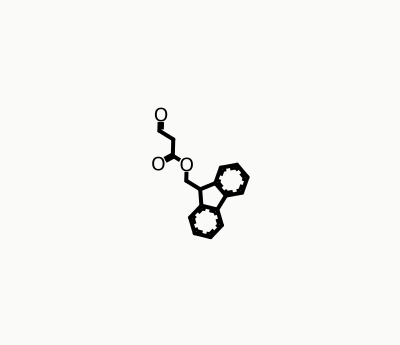 O=CCC(=O)OCC1c2ccccc2-c2ccccc21